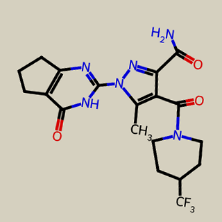 Cc1c(C(=O)N2CCC(C(F)(F)F)CC2)c(C(N)=O)nn1-c1nc2c(c(=O)[nH]1)CCC2